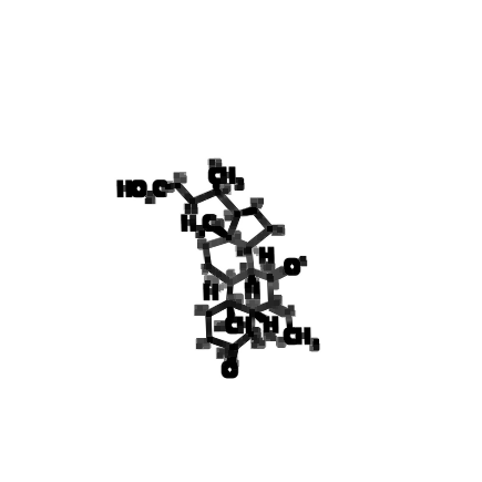 C/C=C1/C(=O)[C@@H]2[C@H](CC[C@]3(C)[C@@H]([C@H](C)CCC(=O)O)CC[C@@H]23)[C@@]2(C)CCC(=O)C[C@@H]12